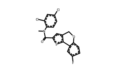 CN(C(=O)c1cc2c(s1)-c1cc(F)ccc1OC2)c1ccc(Cl)cc1Cl